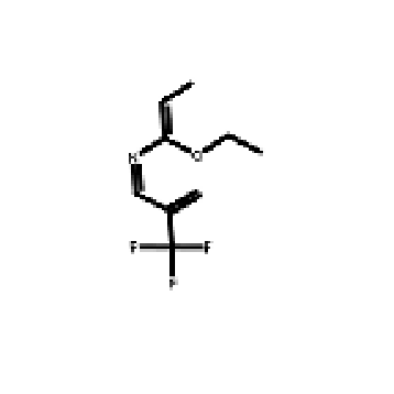 C=C(/C=N\C(=C\C)OCC)C(F)(F)F